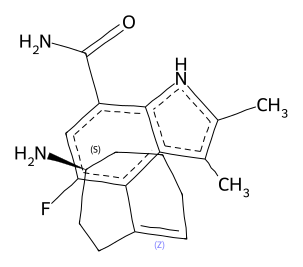 Cc1[nH]c2c(C(N)=O)cc(F)c(/C3=C\CCC[C@H](N)CC3)c2c1C